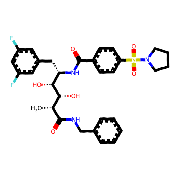 C[C@@H](C(=O)NCc1ccccc1)[C@@H](O)[C@H](O)[C@H](Cc1cc(F)cc(F)c1)NC(=O)c1ccc(S(=O)(=O)N2CCCC2)cc1